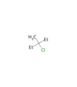 CCC(C)(Cl)CC